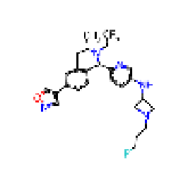 C[C@H]1Cc2cc(-c3cnoc3)ccc2[C@H](c2ccc(NC3CN(CCCF)C3)cn2)N1CC(F)(F)F